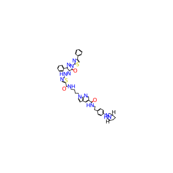 O=C(NCCc1ccc(N2C[C@H]3CC[C@@H](C2)N3)cc1)c1cnc2c(ccn2CCCCNC(=O)c2cnc(N/N=C3/C(=O)N(c4nc(-c5ccccc5)cs4)N=C3c3ccccc3)s2)c1